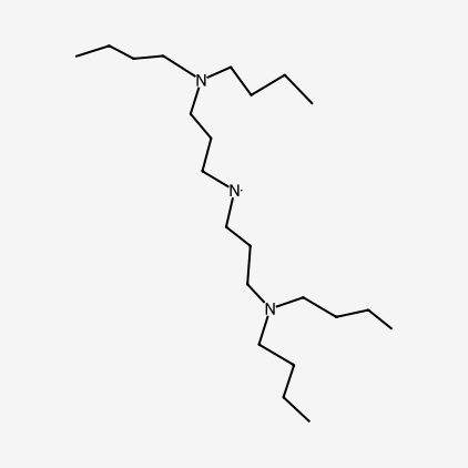 CCCCN(CCCC)CCC[N]CCCN(CCCC)CCCC